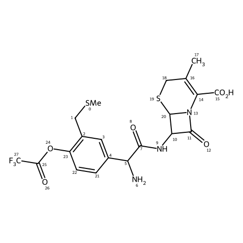 CSCc1cc(C(N)C(=O)NC2C(=O)N3C(C(=O)O)=C(C)CSC23)ccc1OC(=O)C(F)(F)F